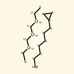 BrCCCCCCC1CC1.CCOCOCOCC